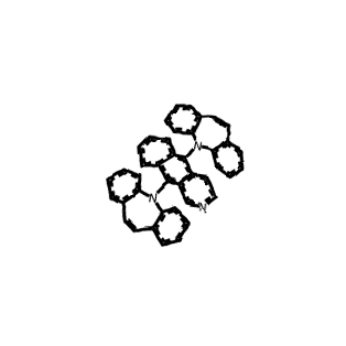 C1=Cc2ccccc2N(c2c3ccccc3c(N3c4ccccc4C=Cc4ccccc43)c3cnccc23)c2ccccc21